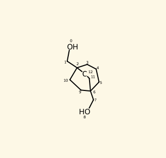 OCC12CCCC(CO)(CC1)CC2